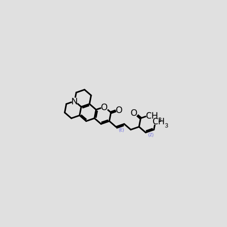 C/C=C\C(C/C=C/c1cc2cc3c4c(c2oc1=O)CCCN4CCC3)C(C)=O